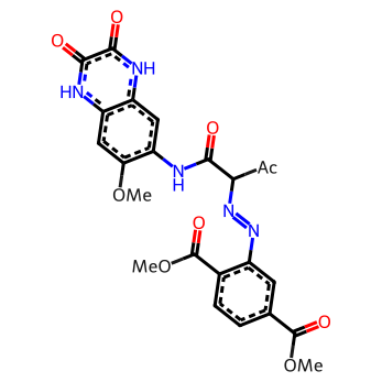 COC(=O)c1ccc(C(=O)OC)c(/N=N/C(C(C)=O)C(=O)Nc2cc3[nH]c(=O)c(=O)[nH]c3cc2OC)c1